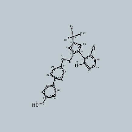 OCc1ccc(-c2ccc(OCc3cc(C(F)(F)F)nn3-c3c(Cl)cccc3Cl)cc2)cc1